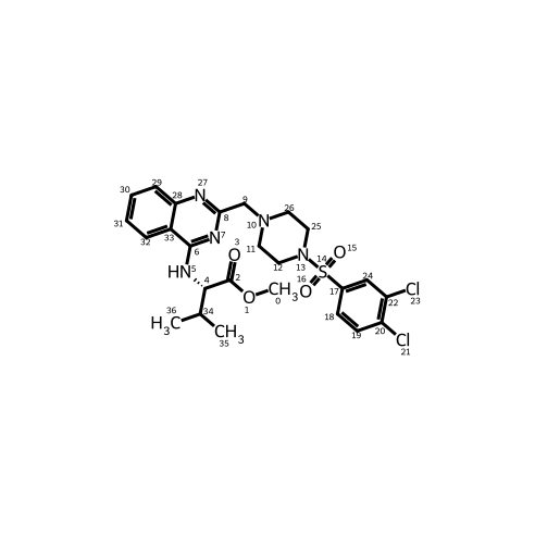 COC(=O)[C@@H](Nc1nc(CN2CCN(S(=O)(=O)c3ccc(Cl)c(Cl)c3)CC2)nc2ccccc12)C(C)C